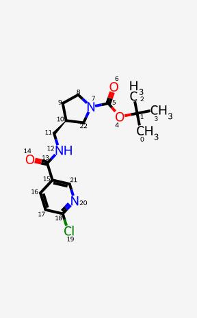 CC(C)(C)OC(=O)N1CC[C@H](CNC(=O)c2ccc(Cl)nc2)C1